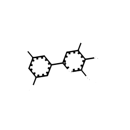 Nc1nc(-c2cc(F)cc(C(F)(F)F)c2)cc(Cl)c1[N+](=O)[O-]